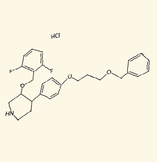 Cl.Fc1cccc(F)c1COC1CNCCC1c1ccc(OCCCOCc2ccccc2)cc1